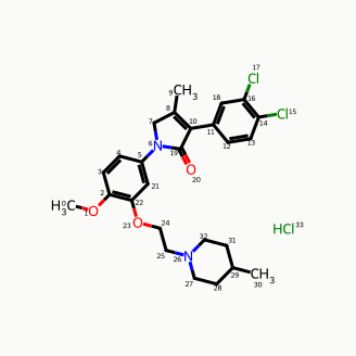 COc1ccc(N2CC(C)=C(c3ccc(Cl)c(Cl)c3)C2=O)cc1OCCN1CCC(C)CC1.Cl